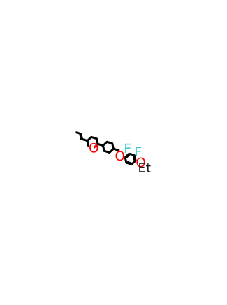 C/C=C/C1CCC(C2CCC(COc3ccc(OCC)c(F)c3F)CC2)OC1